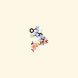 C=C(C)OP(=O)(COCC1O[C@@H](n2cc(F)c3c(N[C@@H](C)c4ccccc4)nc(Cl)nc32)[C@@H]2OC(C)(C)O[C@H]12)OC(C)C